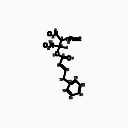 CCCCCC([N+](=O)[O-])C(C)(OC(=O)/C=C/Cc1ccccc1)[N+](=O)[O-]